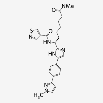 CNC(=O)CCCCC[C@H](NC(=O)c1cnsc1)c1ncc(-c2ccc(-c3ccn(C)n3)cc2)[nH]1